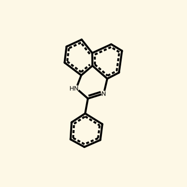 c1ccc(C2=Nc3cccc4cccc(c34)N2)cc1